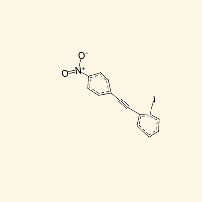 O=[N+]([O-])c1ccc(C#Cc2ccccc2I)cc1